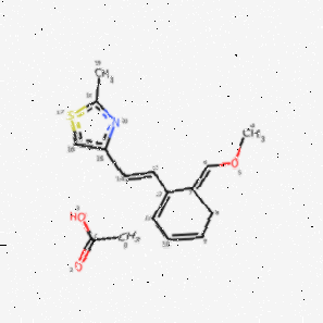 CC(=O)O.CO/C=C1\CC=CC=C1C=Cc1csc(C)n1